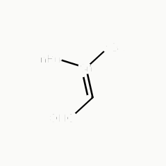 CCC[CH2][Sn](=[CH][C]=O)[CH2]CCC